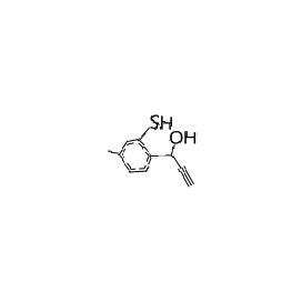 C#CC(O)c1ccc(C)cc1S